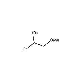 COCC(C(C)C)C(C)(C)C